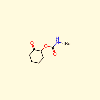 CC(C)(C)NC(=O)OC1CCCCC1=O